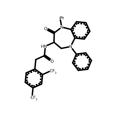 CC(C)N1C(=O)C(NC(=O)Cc2ccc(C(F)(F)F)cc2C(F)(F)F)CN(c2ccccc2)c2ccccc21